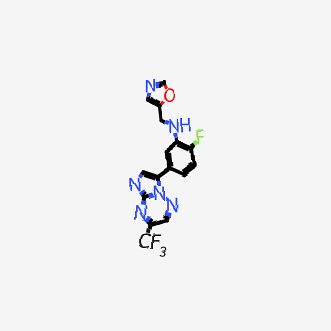 Fc1ccc(-c2cnc3nc(C(F)(F)F)cnn23)cc1NCc1cnco1